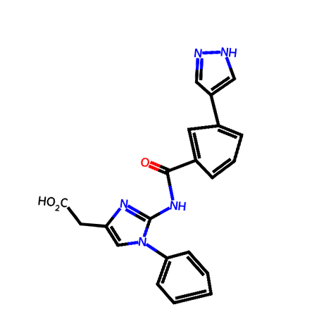 O=C(O)Cc1cn(-c2ccccc2)c(NC(=O)c2cccc(-c3cn[nH]c3)c2)n1